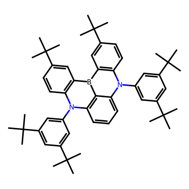 CC(C)(C)c1cc(N2c3ccc(C(C)(C)C)cc3B3c4cc(C(C)(C)C)ccc4N(c4cc(C(C)(C)C)cc(C(C)(C)C)c4)c4cccc2c43)cc(C(C)(C)C)c1